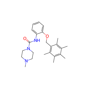 Cc1c(C)c(C)c(COc2ccccc2NC(=O)N2CCN(C)CC2)c(C)c1C